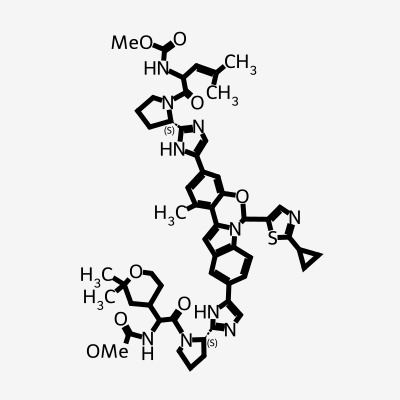 COC(=O)NC(C=C(C)C)C(=O)N1CCC[C@H]1c1ncc(-c2cc(C)c3c(c2)OC(c2cnc(C4CC4)s2)n2c-3cc3cc(-c4cnc([C@@H]5CCCN5C(=O)C(NC(=O)OC)C5CCOC(C)(C)C5)[nH]4)ccc32)[nH]1